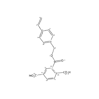 C=Cc1ccc(COC(=O)c2cc(C(=O)O)ccc2C(=O)O)cc1